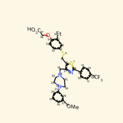 CCc1cc(SCc2sc(-c3ccc(C(F)(F)F)cc3)nc2CN2CCN(c3cccc(OC)c3)CC2)ccc1OCC(=O)O